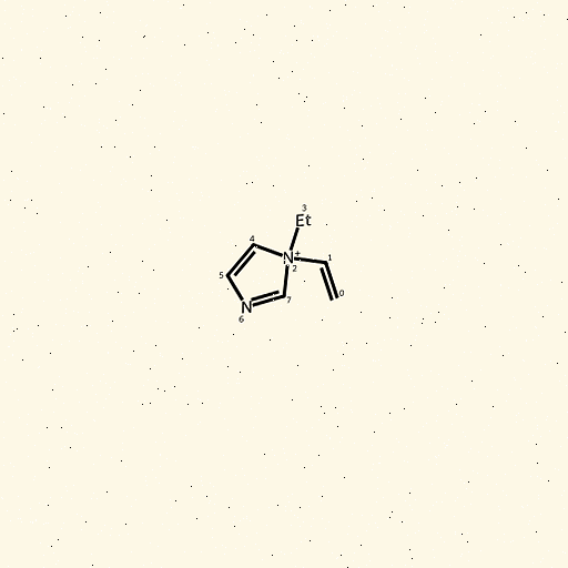 C=C[N+]1(CC)C=CN=C1